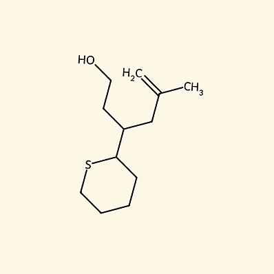 C=C(C)CC(CCO)C1CCCCS1